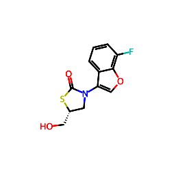 O=C1S[C@@H](CO)CN1c1coc2c(F)cccc12